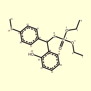 CCOP(=O)(OCC)SC(c1ccc(SC)cc1)c1ccccc1O